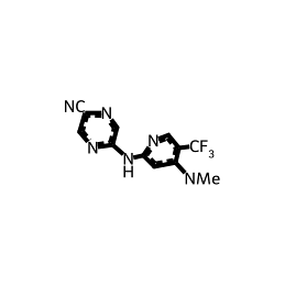 CNc1cc(Nc2cnc(C#N)cn2)ncc1C(F)(F)F